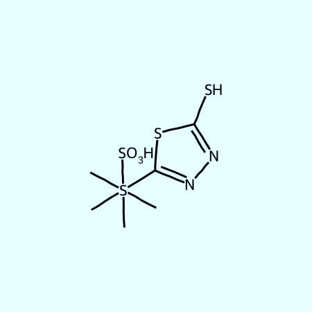 CS(C)(C)(C)(c1nnc(S)s1)S(=O)(=O)O